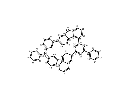 C1=c2ccccc2=CC(c2nc(-c3ccccc3)nc(-c3cccc4oc5cc(-c6cccc(N(c7ccccc7)c7ccccc7)c6)ccc5c34)n2)C1